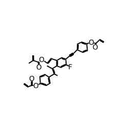 C=CC(=O)Oc1ccc(C#Cc2cc(/C=C/OC(=O)C(=C)C)c(/C(C)=C(\C)c3ccc(OC(=O)C=C)cc3)cc2F)cc1